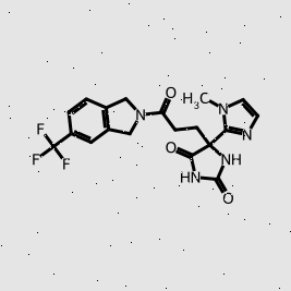 Cn1ccnc1C1(CCC(=O)N2Cc3ccc(C(F)(F)F)cc3C2)NC(=O)NC1=O